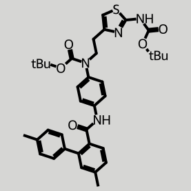 Cc1ccc(-c2cc(C)ccc2C(=O)Nc2ccc(N(CCc3csc(NC(=O)OC(C)(C)C)n3)C(=O)OC(C)(C)C)cc2)cc1